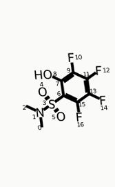 CN(C)S(=O)(=O)c1c(O)c(F)c(F)c(F)c1F